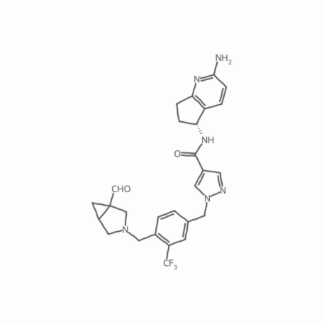 Nc1ccc2c(n1)CC[C@H]2NC(=O)c1cnn(Cc2ccc(CN3CC4CC4(C=O)C3)c(C(F)(F)F)c2)c1